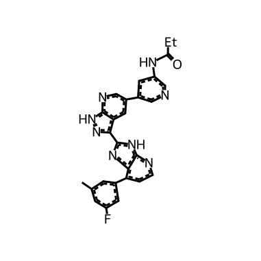 CCC(=O)Nc1cncc(-c2cnc3[nH]nc(-c4nc5c(-c6cc(C)cc(F)c6)ccnc5[nH]4)c3c2)c1